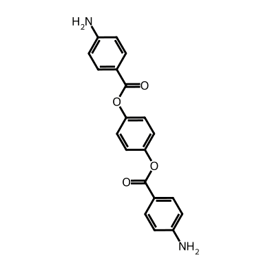 Nc1ccc(C(=O)Oc2ccc(OC(=O)c3ccc(N)cc3)cc2)cc1